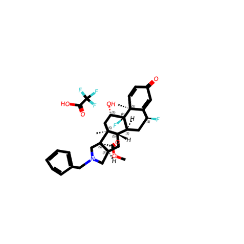 COC(=O)[C@@]12CN(Cc3ccccc3)C[C@@H]1C[C@H]1[C@@H]3C[C@H](F)C4=CC(=O)C=C[C@]4(C)[C@@]3(F)[C@@H](O)C[C@@]12C.O=C(O)C(F)(F)F